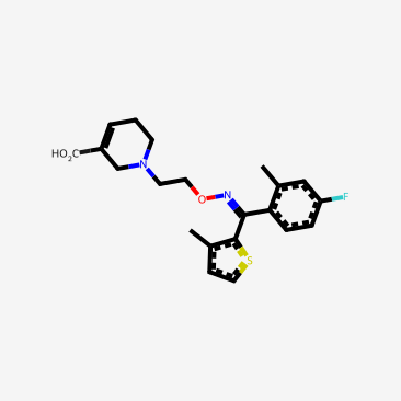 Cc1cc(F)ccc1C(=NOCCN1CCC=C(C(=O)O)C1)c1sccc1C